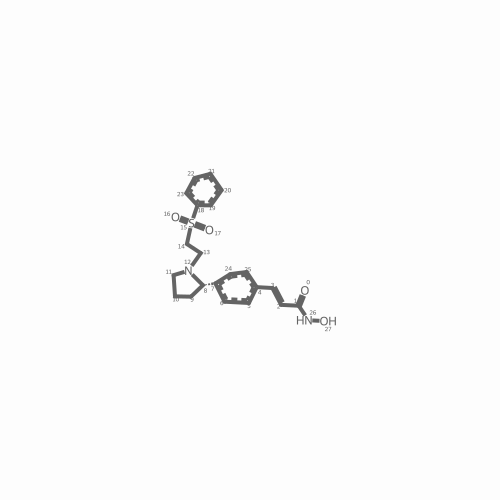 O=C(C=Cc1ccc([C@@H]2CCCN2CCS(=O)(=O)c2ccccc2)cc1)NO